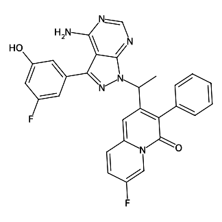 CC(c1cc2ccc(F)cn2c(=O)c1-c1ccccc1)n1nc(-c2cc(O)cc(F)c2)c2c(N)ncnc21